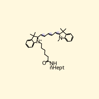 CCCCCCCNC(=O)CCCCC[N+]1=C(/C=C/C=C/C=C2\N(C)c3ccccc3C2(C)C)C(C)(C)c2ccccc21